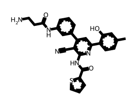 Cc1ccc(-c2cc(-c3cccc(NC(=O)CCN)c3)c(C#N)c(NC(=O)c3cccs3)n2)c(O)c1